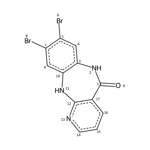 O=C1Nc2cc(Br)c(Br)cc2Nc2ncccc21